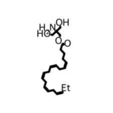 CC/C=C\C/C=C\C/C=C\C/C=C\C/C=C\CCCC(=O)OCC(N)(CO)CO